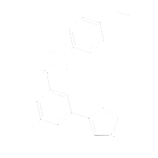 COc1ccc(S(=O)(=O)Nc2cc(C)cc(-c3ccn(C)c3)c2)cc1